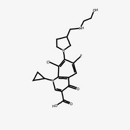 O=C(O)c1cn(C2CC2)c2c(Cl)c(N3CCC(CNCCO)C3)c(F)cc2c1=O